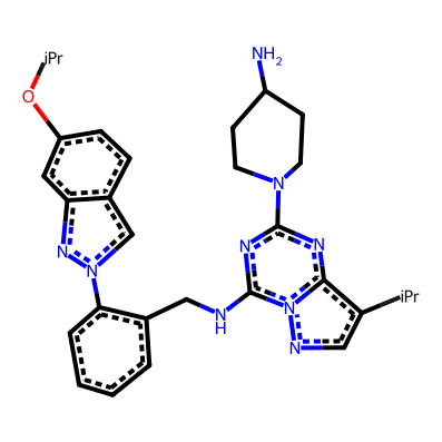 CC(C)Oc1ccc2cn(-c3ccccc3CNc3nc(N4CCC(N)CC4)nc4c(C(C)C)cnn34)nc2c1